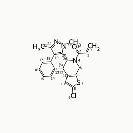 C=CC(=O)N1Cc2sc(Cl)cc2[C@H](c2ccccc2-c2cn(C)nc2C)C1